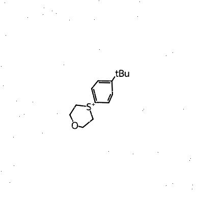 CC(C)(C)c1ccc([S+]2CCOCC2)cc1